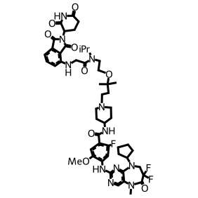 COc1cc(C(=O)NC2CCN(CCC(C)(C)OCCN(C(=O)CNc3cccc4c3C(=O)N(C3CCC(=O)NC3=O)C4=O)C(C)C)CC2)c(F)cc1Nc1ncc2c(n1)N(C1CCCC1)CC(F)(F)C(=O)N2C